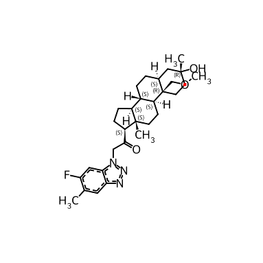 COC[C@]12CC[C@@](C)(O)C[C@@H]1CC[C@H]1[C@@H]3CC[C@H](C(=O)Cn4nnc5cc(C)c(F)cc54)[C@@]3(C)CC[C@@H]12